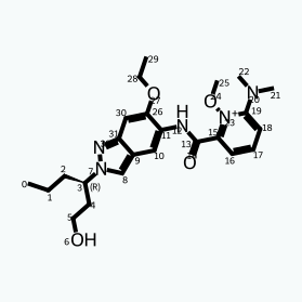 CCC[C@H](CCO)n1cc2cc(NC(=O)c3cccc(N(C)C)[n+]3OC)c(OCC)cc2n1